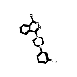 FC(F)(F)c1cccc(N2CCN(c3nnc(Cl)c4ccccc34)CC2)c1